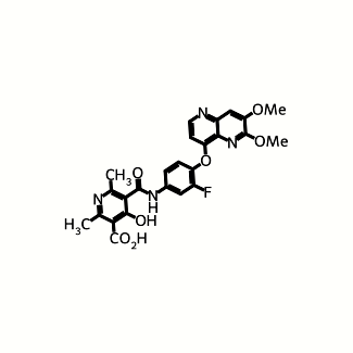 COc1cc2nccc(Oc3ccc(NC(=O)c4c(C)nc(C)c(C(=O)O)c4O)cc3F)c2nc1OC